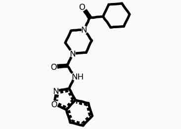 O=C(Nc1noc2ccccc12)N1CCN(C(=O)C2CCCCC2)CC1